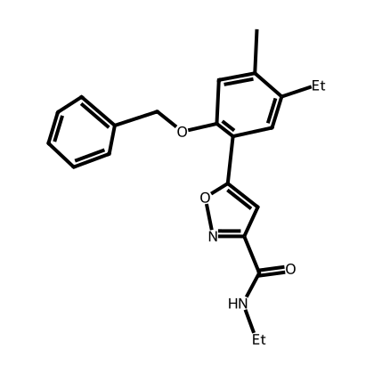 CCNC(=O)c1cc(-c2cc(CC)c(C)cc2OCc2ccccc2)on1